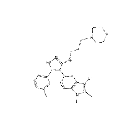 Cc1cccc(-c2[nH]nc(NCCCN3CCOCC3)c2-c2ccc3c(c2)[n+]([O-])c(C)n3C)c1